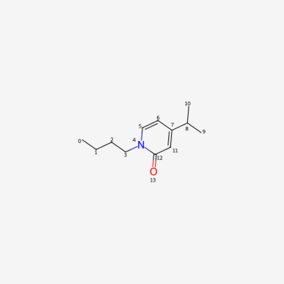 CCCCn1ccc(C(C)C)cc1=O